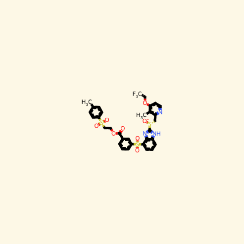 Cc1ccc(S(=O)(=O)CCOC(=O)c2cccc(S(=O)(=O)c3cccc4[nH]c([S+]([O-])Cc5nccc(OCC(F)(F)F)c5C)nc34)c2)cc1